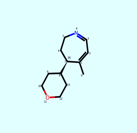 CC1=CC=NCC[C@@H]1C1CCOCC1